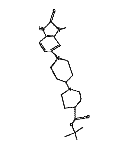 Cn1c(=O)[nH]c2ccc(N3CCC(N4CCC(C(=O)OC(C)(C)C)CC4)CC3)cc21